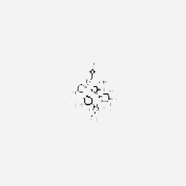 NCCS(=O)(=O)N[C@@H]1C[C@H](N)[C@@H](O[C@H]2O[C@H](CNCC3CC(N)C3)CC[C@H]2N)[C@H](O[C@@H]2O[C@H](CO)[C@@H](O[C@H]3O[C@@H](CN)[C@@H](O)[C@H](O)[C@H]3N)[C@H]2O)[C@H]1O